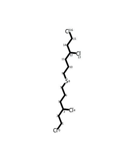 ClCCC(Cl)CCCSCCCC(Cl)CCCl